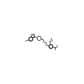 COSc1cc(C(C)=O)ccc1OCCCN1CCC(c2noc3cc(F)ccc23)CC1